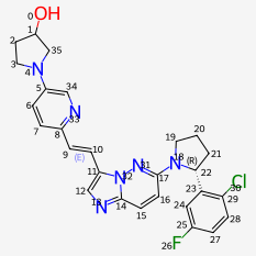 OC1CCN(c2ccc(/C=C/c3cnc4ccc(N5CCC[C@@H]5c5cc(F)ccc5Cl)nn34)nc2)C1